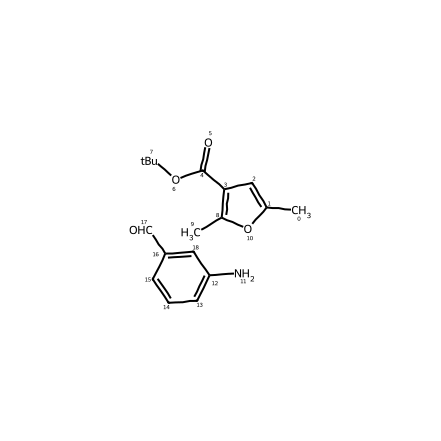 Cc1cc(C(=O)OC(C)(C)C)c(C)o1.Nc1cccc(C=O)c1